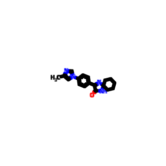 Cc1cn(-c2ccc(C3=NC4(CCCCC4)NC3=O)cc2)cn1